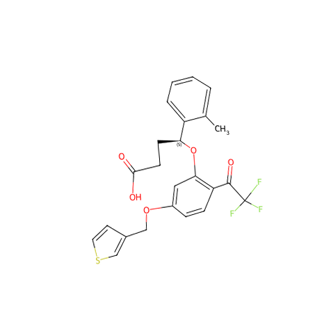 Cc1ccccc1[C@H](CCC(=O)O)Oc1cc(OCc2ccsc2)ccc1C(=O)C(F)(F)F